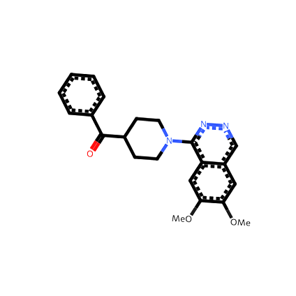 COc1cc2cnnc(N3CCC(C(=O)c4ccccc4)CC3)c2cc1OC